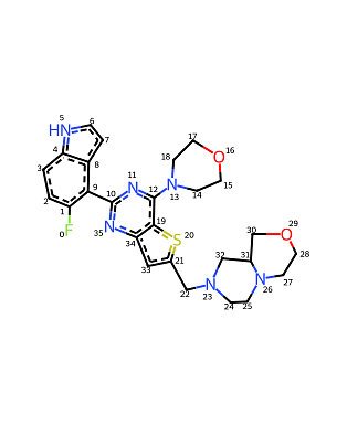 Fc1ccc2[nH]ccc2c1-c1nc(N2CCOCC2)c2sc(CN3CCN4CCOCC4C3)cc2n1